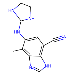 Cc1c(NC2NCCN2)cc(C#N)c2[nH]cnc12